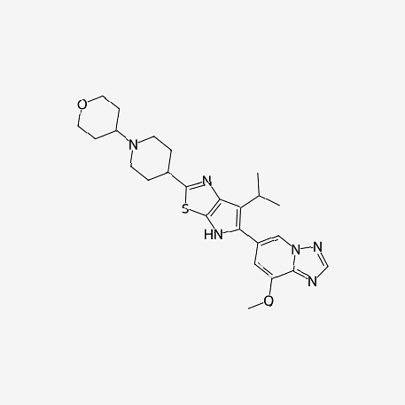 COc1cc(-c2[nH]c3sc(C4CCN(C5CCOCC5)CC4)nc3c2C(C)C)cn2ncnc12